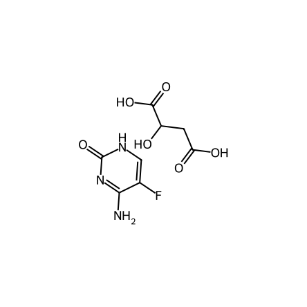 Nc1nc(=O)[nH]cc1F.O=C(O)CC(O)C(=O)O